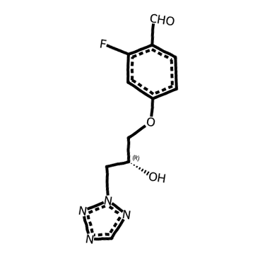 O=Cc1ccc(OC[C@H](O)Cn2ncnn2)cc1F